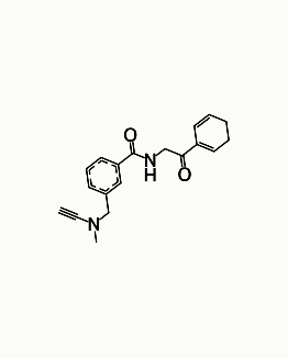 C#CN(C)Cc1cccc(C(=O)NCC(=O)C2=CCCC=C2)c1